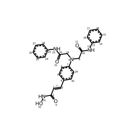 O=C(/C=C/c1ccc(N(CC(=O)Nc2ccccc2)CC(=O)Nc2ccccc2)cc1)NO